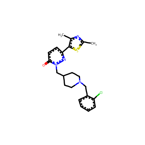 Cc1nc(C)c(-c2ccc(=O)n(CC3CCN(Cc4ccccc4Cl)CC3)n2)s1